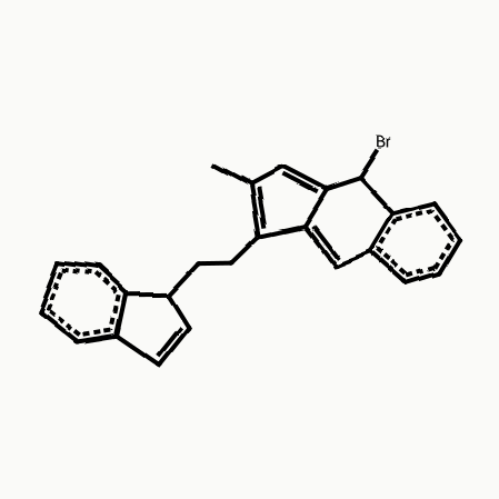 CC1=C(CCC2C=Cc3ccccc32)C2=Cc3ccccc3C(Br)C2=C1